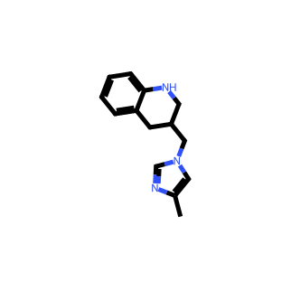 Cc1cn(CC2CNc3ccccc3C2)cn1